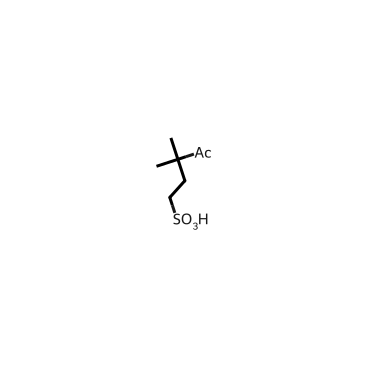 CC(=O)C(C)(C)CCS(=O)(=O)O